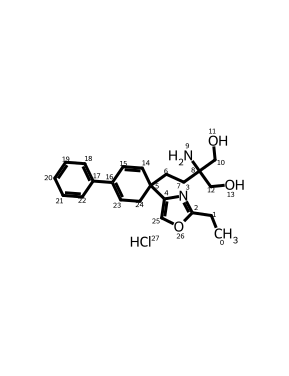 CCc1nc(C2(CCC(N)(CO)CO)C=CC(c3ccccc3)=CC2)co1.Cl